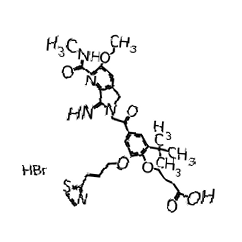 Br.CCOc1cc2c(nc1C(=O)NC)C(=N)N(CC(=O)c1cc(OCCCc3nccs3)c(OCCCC(=O)O)c(C(C)(C)C)c1)C2